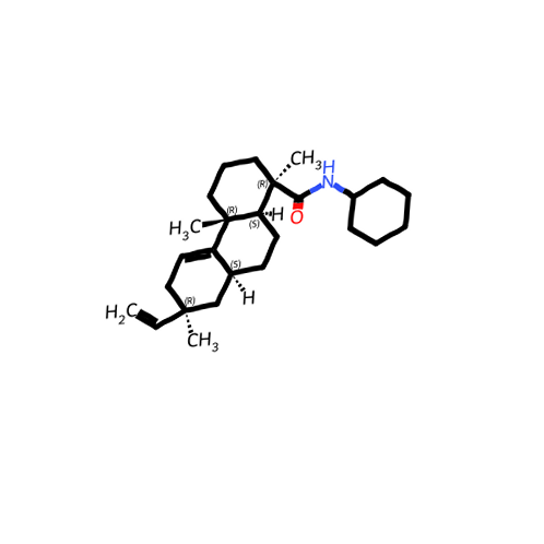 C=C[C@@]1(C)CC=C2[C@@H](CC[C@@H]3[C@](C)(C(=O)NC4CCCCC4)CCC[C@@]23C)C1